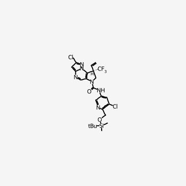 C=C[C@@]1(C(F)(F)F)CN(C(=O)Nc2cnc(CO[Si](C)(C)C(C)(C)C)c(Cl)c2)c2cnc3cc(Cl)nn3c21